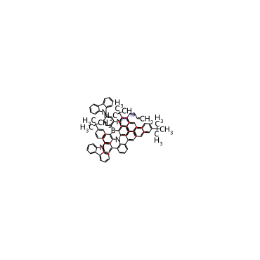 C=C/C=C\C(=C\N1c2cc(-n3c4ccccc4c4ccccc43)ccc2B2c3ccc(-n4c5ccccc5c5ccccc54)cc3N(c3c(-c4cccc(-c5ccc(C(C)(C)C)cc5)c4)cccc3-c3cccc(-c4ccc(C(C)(C)C)cc4)c3)c3cc(-c4ccccc4)cc1c32)c1cccc(-c2ccc(C(C)(C)C)cc2)c1